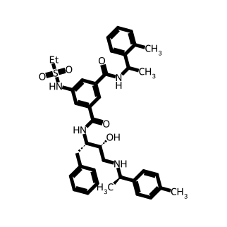 CCS(=O)(=O)Nc1cc(C(=O)NC(C)c2ccccc2C)cc(C(=O)N[C@@H](Cc2ccccc2)[C@H](O)CN[C@H](C)c2ccc(C)cc2)c1